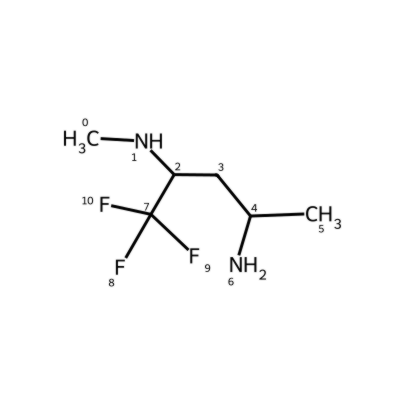 CNC(CC(C)N)C(F)(F)F